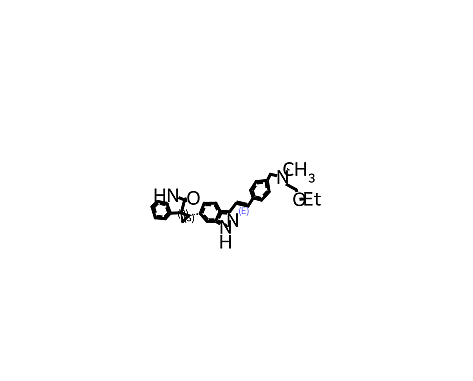 CCOCCN(C)Cc1ccc(/C=C/c2n[nH]c3cc([C@@H]4C[C@@]45C(=O)Nc4ccccc45)ccc23)cc1